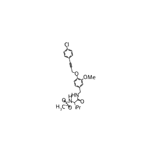 COc1cc(CNC(=O)C(NS(C)(=O)=O)C(C)C)ccc1OCC#Cc1ccc(Cl)cc1